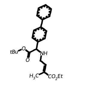 CCOC(=O)C(C)=CCNC(C(=O)OC(C)(C)C)c1ccc(-c2ccccc2)cc1